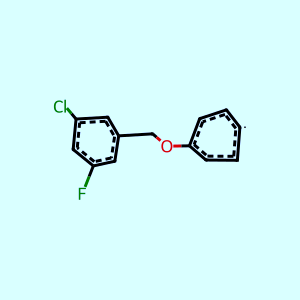 Fc1cc(Cl)cc(COc2cc[c]cc2)c1